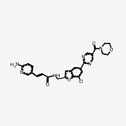 Nc1ccc(C=CC(=O)NCc2cc3cc(-c4ncc(C(=O)N5CCOCC5)cn4)cc(Cl)c3o2)cn1